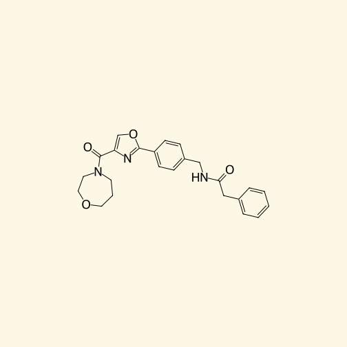 O=C(Cc1ccccc1)NCc1ccc(-c2nc(C(=O)N3CCCOCC3)co2)cc1